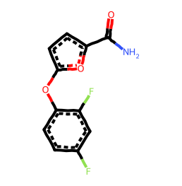 NC(=O)c1ccc(Oc2ccc(F)cc2F)o1